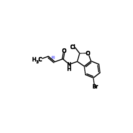 C/C=C/C(=O)NC1c2cc(Br)ccc2OC1Cl